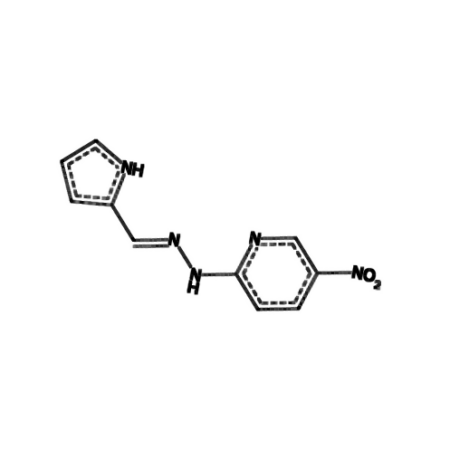 O=[N+]([O-])c1ccc(NN=Cc2ccc[nH]2)nc1